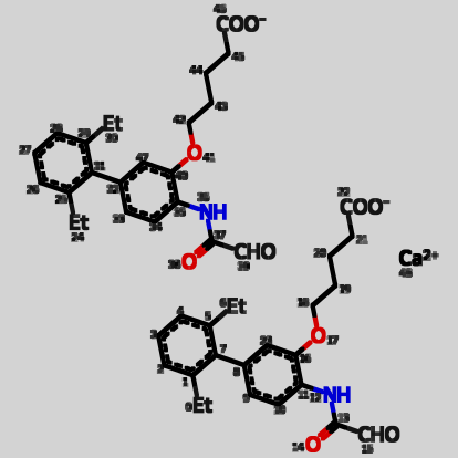 CCc1cccc(CC)c1-c1ccc(NC(=O)C=O)c(OCCCCC(=O)[O-])c1.CCc1cccc(CC)c1-c1ccc(NC(=O)C=O)c(OCCCCC(=O)[O-])c1.[Ca+2]